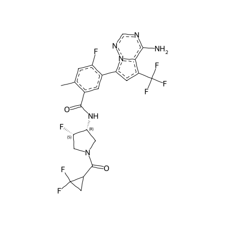 Cc1cc(F)c(-c2cc(C(F)(F)F)c3c(N)ncnn23)cc1C(=O)N[C@@H]1CN(C(=O)C2CC2(F)F)C[C@@H]1F